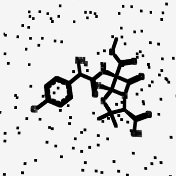 COC(=O)[C@]1(NC(=O)C(N)c2ccc(Cl)cc2)C(=O)N2[C@@H](C(=O)O)C(C)(C)S[C@@H]21